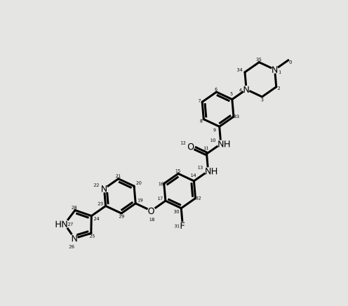 CN1CCN(c2cccc(NC(=O)Nc3ccc(Oc4ccnc(-c5cn[nH]c5)c4)c(F)c3)c2)CC1